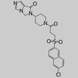 O=C(CCS(=O)(=O)c1ccc2cc(Cl)ccc2c1)N1CCC(N2Cn3cncc3C2=O)CC1